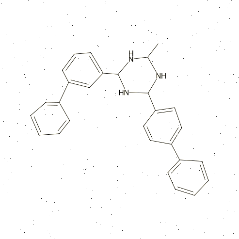 CC1NC(c2ccc(-c3ccccc3)cc2)NC(c2cccc(-c3ccccc3)c2)N1